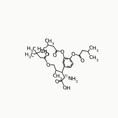 CC(C)CC(=O)Oc1ccc(C(C(C)COC(=O)CC(C)(C)C)[C@H](N)C(=O)O)cc1OC(=O)CC(C)C